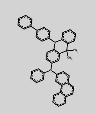 CC1(C)c2ccccc2N(c2ccc(-c3ccccc3)cc2)c2ccc(N(c3ccccc3)c3ccc4ccc5ccccc5c4c3)cc21